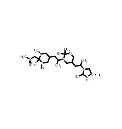 CCC1N[C@@H](C)CN1C(C)CC1COC(C)(CC)N(C(C)CC2CN(C)C(C)(CS(C)=S)N(C(C)C)C2)C1